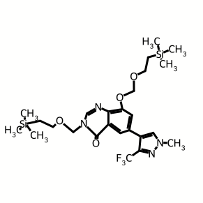 Cn1cc(-c2cc(OCOCC[Si](C)(C)C)c3ncn(COCC[Si](C)(C)C)c(=O)c3c2)c(C(F)(F)F)n1